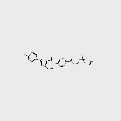 C[C@H](CC(=N)c1ccc(N2CCc3cc(-c4ccc(Cl)cc4)sc3C2=O)cn1)CC(C)(C)OC(N)=O